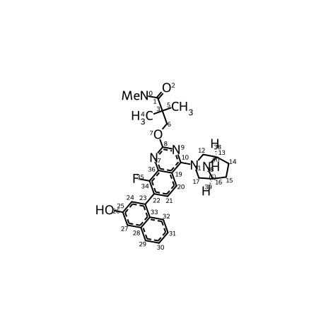 CNC(=O)C(C)(C)COc1nc(N2C[C@H]3CC[C@@H](C2)N3)c2ccc(-c3cc(O)cc4ccccc34)c(F)c2n1